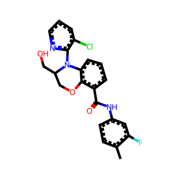 Cc1ccc(NC(=O)c2cccc3c2OCC(CO)N3c2ncccc2Cl)cc1F